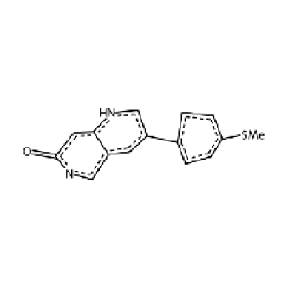 CSc1ccc(-c2c[nH]c3cc(=O)ncc-3c2)cc1